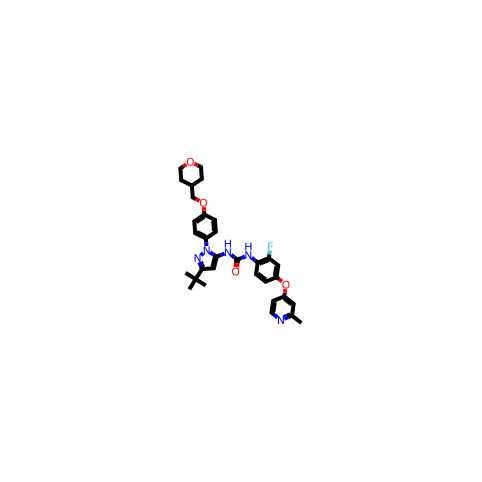 Cc1cc(Oc2ccc(NC(=O)Nc3cc(C(C)(C)C)nn3-c3ccc(OCC4CCOCC4)cc3)c(F)c2)ccn1